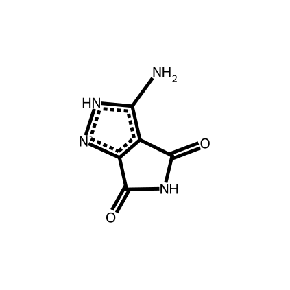 Nc1[nH]nc2c1C(=O)NC2=O